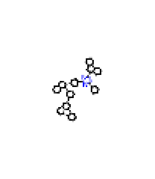 c1ccc(-c2nc(-c3ccc(-c4ccc5ccccc5c4-c4cccc(-c5cc6c7c(cccc7c5)-c5ccccc5-6)c4)cc3)nc(-c3cc4ccccc4c4ccccc34)n2)cc1